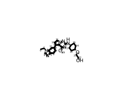 CCn1nnc2ccc(-c3ccn4nc(N[C@H]5CC[C@@H](OCCO)CC5)nc(OC)c34)cc21